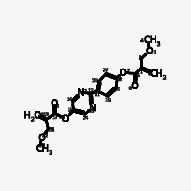 C=C(COC)C(=O)Oc1ccc(-c2ncc(OC(=O)C(=C)COC)cn2)cc1